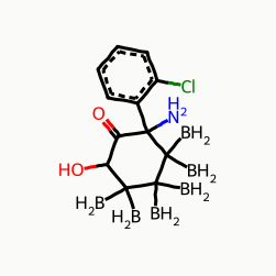 BC1(B)C(O)C(=O)C(N)(c2ccccc2Cl)C(B)(B)C1(B)B